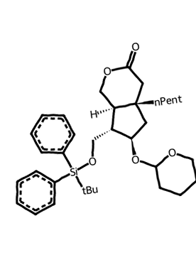 CCCCC[C@]12CC(=O)OC[C@@H]1[C@@H](CO[Si](c1ccccc1)(c1ccccc1)C(C)(C)C)[C@H](OC1CCCCO1)C2